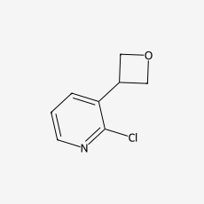 Clc1ncccc1C1COC1